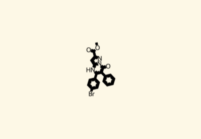 COC(=O)c1cc2[nH]c(-c3ccc(Br)cc3)c(-c3ccccc3)c(=O)n2n1